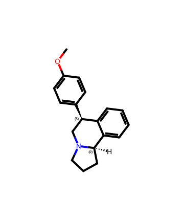 COc1ccc([C@@H]2CN3CCC[C@@H]3c3ccccc32)cc1